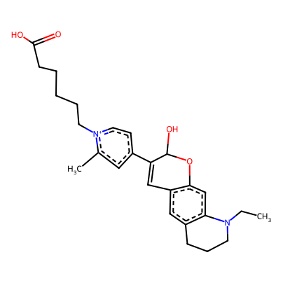 CCN1CCCc2cc3c(cc21)OC(O)C(c1cc[n+](CCCCCC(=O)O)c(C)c1)=C3